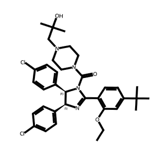 CCOc1cc(C(C)(C)C)ccc1C1=N[C@@H](c2ccc(Cl)cc2)[C@@H](c2ccc(Cl)cc2)N1C(=O)N1CCN(CC(C)(C)O)CC1